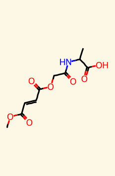 COC(=O)/C=C/C(=O)OCC(=O)NC(C)C(=O)O